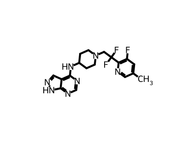 Cc1cnc(C(F)(F)CN2CCC(Nc3ncnc4[nH]ncc34)CC2)c(F)c1